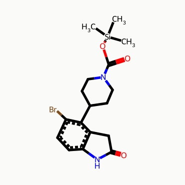 C[Si](C)(C)OC(=O)N1CCC(c2c(Br)ccc3c2CC(=O)N3)CC1